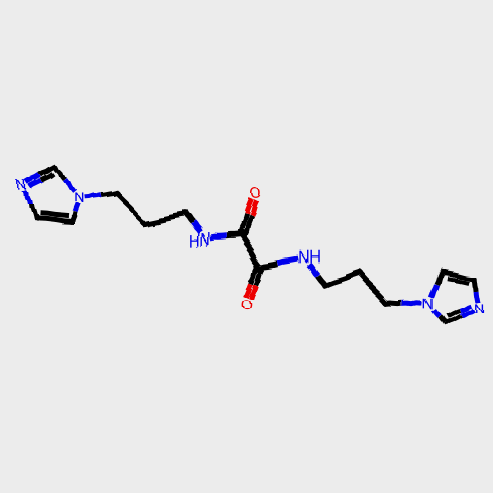 O=C(NCCCn1ccnc1)C(=O)NCCCn1ccnc1